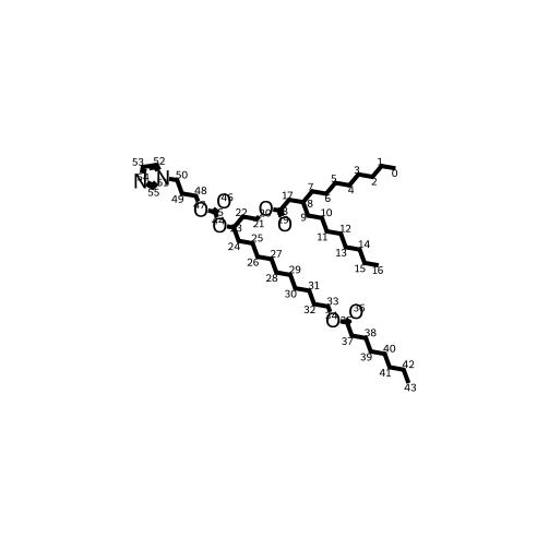 CCCCCCCCC(CCCCCCCC)CC(=O)OCCC(CCCCCCCCCCOC(=O)CCCCCCC)OC(=O)OCCCn1ccnc1